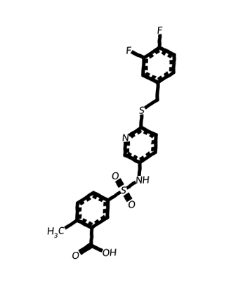 Cc1ccc(S(=O)(=O)Nc2ccc(SCc3ccc(F)c(F)c3)nc2)cc1C(=O)O